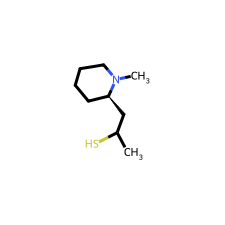 CC(S)C[C@H]1CCCCN1C